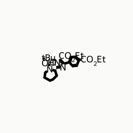 CCOC(=O)c1ccc(-c2nc([C@@H]3CCCCCN3C(=O)OC(C)(C)C)[nH]c2C(=O)OCC)cc1